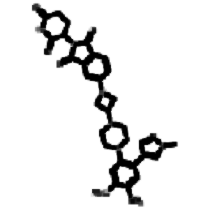 COc1cc(N2CCN(C3CN(c4ccc5c(c4)C(=O)N(C4CCC(=O)NC4=O)C5=O)C3)CC2)c(-c2cnn(C)c2)cc1[N+](=O)[O-]